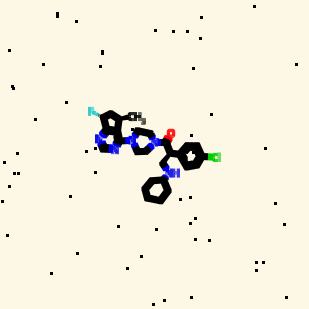 C[C@@H]1C[C@@H](F)c2ncnc(N3CCN(C(=O)[C@H](CNC4CCCCC4)c4ccc(Cl)cc4)CC3)c21